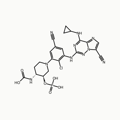 N#Cc1cc(Nc2nc(NC3CC3)c3ncc(C#N)n3n2)c(Cl)c(N2CC[C@@H](NC(=O)O)[C@H](OP(=O)(O)O)C2)c1